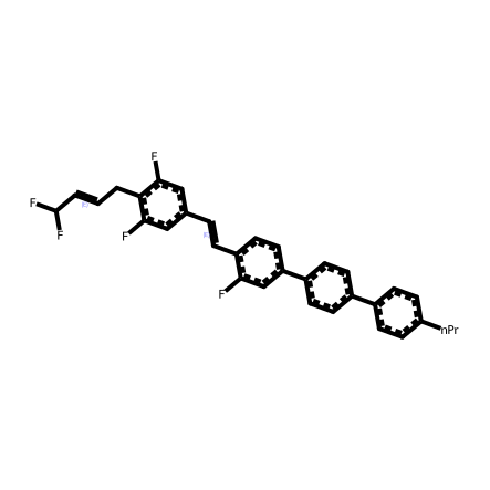 CCCc1ccc(-c2ccc(-c3ccc(/C=C/c4cc(F)c(C/C=C/C(F)F)c(F)c4)c(F)c3)cc2)cc1